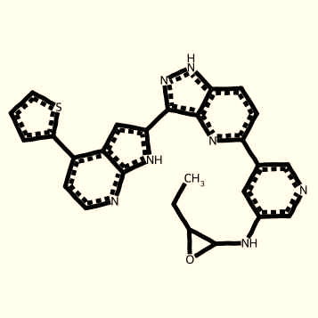 CCC1OC1Nc1cncc(-c2ccc3[nH]nc(-c4cc5c(-c6cccs6)ccnc5[nH]4)c3n2)c1